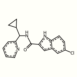 O=C(NC(c1ccccn1)C1CC1)c1cc2cc(Cl)ccc2[nH]1